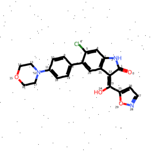 O=C1Nc2cc(Cl)c(-c3ccc(N4CCOCC4)cc3)cc2C1=C(O)c1ccno1